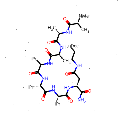 CCCCCCCCCCCCNC(=O)C[C@H](NC(=O)[C@@H](NC(=O)[C@@H](NC(=O)C(NC(=O)[C@H](C)NC(=O)[C@H](C)NC(=O)[C@H](C)NC)C(C)C)C(C)C)C(C)C)C(N)=O